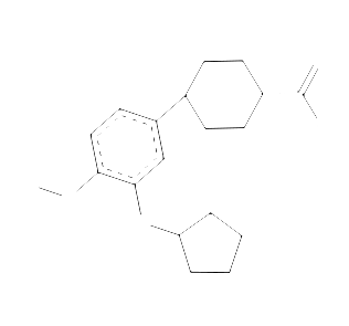 COc1ccc([C@]2(C)CC[C@@H](C(=O)O)CC2)cc1OC1CCCC1